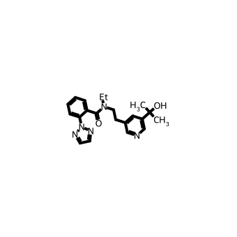 CCN(CCc1cncc(C(C)(C)O)c1)C(=O)c1ccccc1-n1nccn1